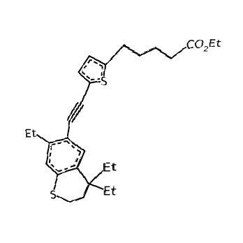 CCOC(=O)CCCCc1ccc(C#Cc2cc3c(cc2CC)SCCC3(CC)CC)s1